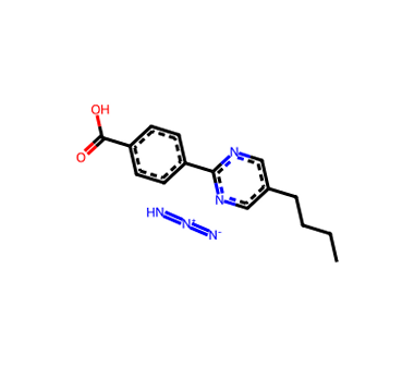 CCCCc1cnc(-c2ccc(C(=O)O)cc2)nc1.[N-]=[N+]=N